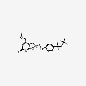 COCc1cc(=O)nc2n1C[C@@H](COc1ccc(C(C)(C)CC(C)(C)C)cc1)O2